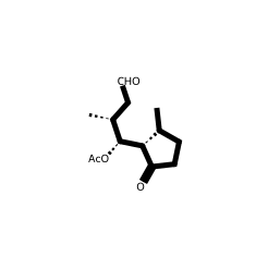 CC(=O)O[C@H]([C@H](C)CC=O)[C@H]1C(=O)CCC1C